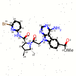 COC(=O)c1ccc2c(c1)c1c(N)ncnc1n2CC(=O)N1[C@H](C)[C@@H](C)C[C@H]1C(=O)Nc1cccc(Br)n1